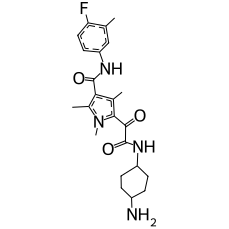 Cc1cc(NC(=O)c2c(C)c(C(=O)C(=O)NC3CCC(N)CC3)n(C)c2C)ccc1F